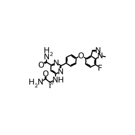 C[C@H](Nc1cc(C(N)=O)nc(-c2ccc(Oc3ccc(F)c4c3cnn4C)cc2)n1)C(N)=O